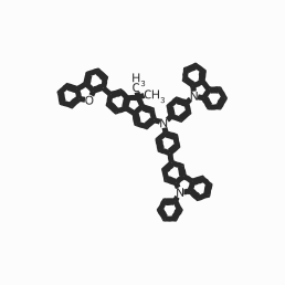 CC1(C)c2cc(-c3cccc4c3oc3ccccc34)ccc2-c2ccc(N(c3ccc(-c4ccc5c(c4)c4ccccc4n5-c4ccccc4)cc3)c3ccc(-n4c5ccccc5c5ccccc54)cc3)cc21